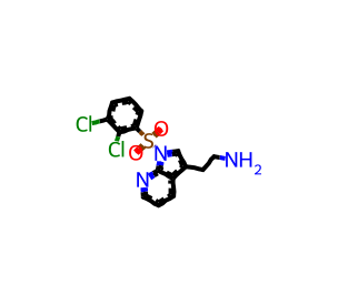 NCCc1cn(S(=O)(=O)c2cccc(Cl)c2Cl)c2ncccc12